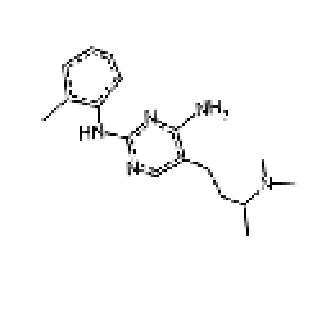 Cc1ccccc1Nc1ncc(CCC(C)N(C)C)c(N)n1